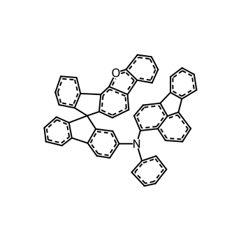 c1ccc(N(c2ccc3c(c2)C2(c4ccccc4-3)c3ccccc3-c3c2ccc2c3oc3ccccc32)c2ccc3c4c(cccc24)-c2ccccc2-3)cc1